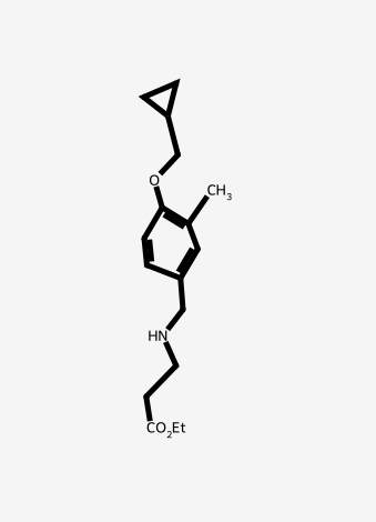 CCOC(=O)CCNCc1ccc(OCC2CC2)c(C)c1